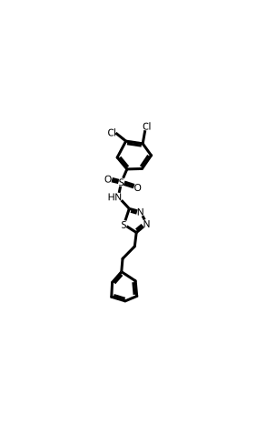 O=S(=O)(Nc1nnc(CCc2ccccc2)s1)c1ccc(Cl)c(Cl)c1